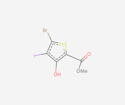 COC(=O)c1sc(Br)c(I)c1O